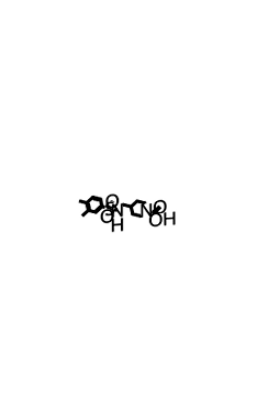 Cc1ccc(S(=O)(=O)NCC2CCN(C(=O)O)CC2)cc1C